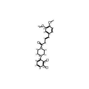 COc1ccc(/C=C/CC(=O)N2CCN(c3cccc(Cl)c3Cl)CC2)cc1OC